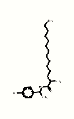 CCCCCCCCCCCCCCCCCCCCCC(C)C(=O)NC(C)c1ccc(O)cc1